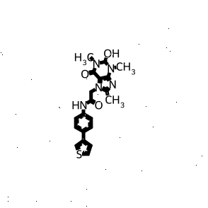 Cc1nc2c(n1CC(=O)Nc1ccc(-c3ccsc3)cc1)C(=O)N(C)C(O)N2C